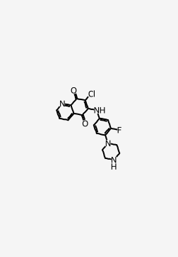 O=C1C(Nc2ccc(N3CCNCC3)c(F)c2)=C(Cl)C(=O)c2ncccc21